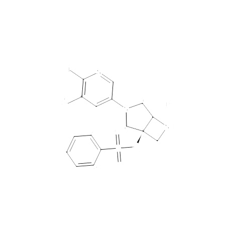 O=S(=O)(O[C@]12CN[C@@H]1CN(c1cnc(Cl)c(Cl)c1)C2)c1ccccc1